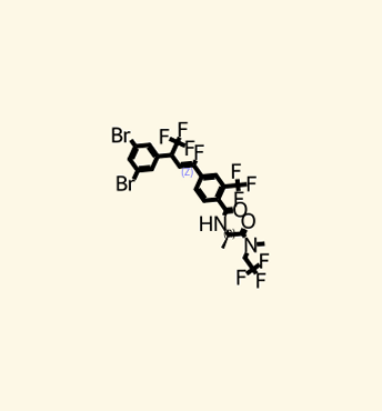 C[C@@H](NC(=O)c1ccc(/C(F)=C/C(c2cc(Br)cc(Br)c2)C(F)(F)F)cc1C(F)(F)F)C(=O)N(C)CC(F)(F)F